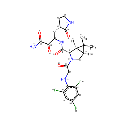 CC1(C)[C@@H]2[C@@H](C(=O)NC(C[C@@H]3CCNC3=O)C(=O)C(N)=O)N(C(=O)CNc3c(F)cc(F)cc3F)C[C@@H]21